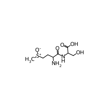 C[S+]([O-])CCC(N)C(=O)NC(CO)C(=O)O